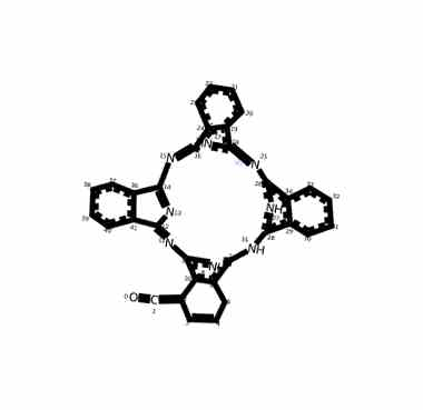 O=C=C1C=CCc2c3[nH]c(c21)N=C1N=C(N=c2[nH]/c(c4ccccc24)=N\c2[nH]c(c4ccccc24)N3)c2ccccc21